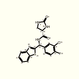 O=C1NC[C@@H](C(=O)N[C@@H](c2ccc(F)c(Cl)c2)c2nc3ccccc3s2)N1